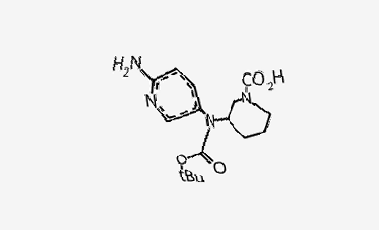 CC(C)(C)OC(=O)N(c1ccc(N)nc1)C1CCCN(C(=O)O)C1